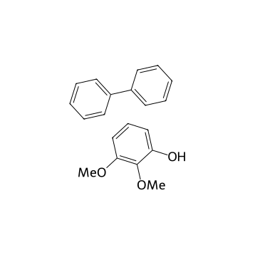 COc1cccc(O)c1OC.c1ccc(-c2ccccc2)cc1